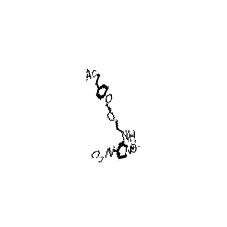 CC(=O)CCc1ccc(OCCOCCNc2cc([N+](=O)[O-])cc[n+]2[O-])cc1